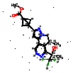 COC(=O)C12CC(c3cc4n(n3)C[C@H](C)c3c-4cnnc3[C@@](C)(O)C(F)(F)F)(C1)C2